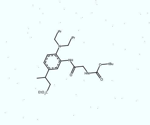 CCOC(=O)CC(C)c1ccc(N(CC(C)C)CC(C)C)c(NC(=O)CNC(=O)OC(C)(C)C)c1